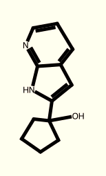 OC1(c2cc3cccnc3[nH]2)CCCC1